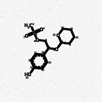 CS(=O)(=O)OCC(OC1CCCCO1)c1ccc(O)cc1